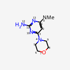 CNc1cc(N2CCOCC2)nc(N)n1